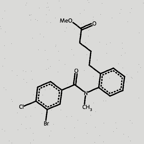 COC(=O)CCCc1ccccc1N(C)C(=O)c1ccc(Cl)c(Br)c1